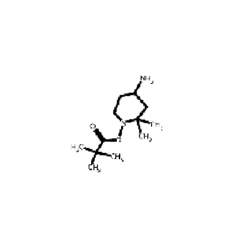 CC(C)(C)C(=O)ON1CCC(N)CC1(C)C